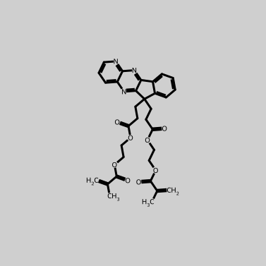 C=C(C)C(=O)OCCOC(=O)CCC1(CCC(=O)OCCOC(=O)C(=C)C)c2ccccc2-c2nc3ncccc3nc21